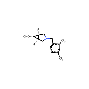 O=C[C@@H]1[C@H]2CN(Cc3ccc(C(F)(F)F)cc3C(F)(F)F)C[C@@H]12